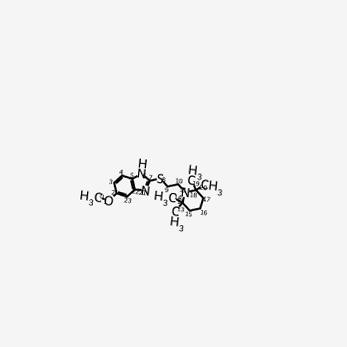 COc1ccc2[nH]c(SCCN3C(C)(C)CCCC3(C)C)nc2c1